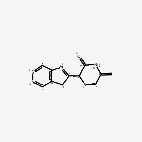 C=C1CSC(C2=Nc3cnncc3C2)C(=O)N1